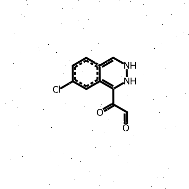 O=CC(=O)C1=c2cc(Cl)ccc2=CNN1